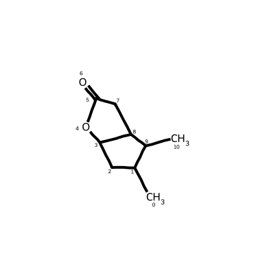 CC1CC2OC(=O)CC2C1C